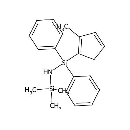 CC1=C([Si](N[Si](C)(C)C)(c2ccccc2)c2ccccc2)CC=C1